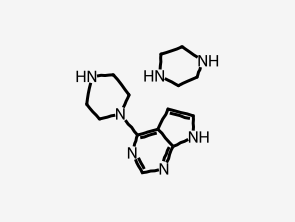 C1CNCCN1.c1nc(N2CCNCC2)c2cc[nH]c2n1